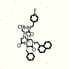 N#CCN(C(=O)NCc1ccc(F)cc1)N1CC(=O)N2[C@@H](Cc3ccccc3)C(=O)N(Cc3cccc4ccccc34)C[C@@H]21